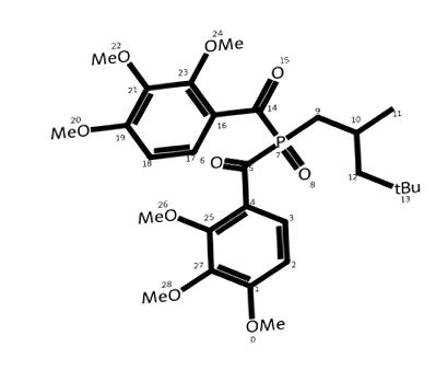 COc1ccc(C(=O)P(=O)(CC(C)CC(C)(C)C)C(=O)c2ccc(OC)c(OC)c2OC)c(OC)c1OC